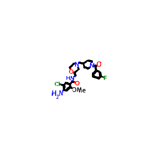 COc1cc(N)c(Cl)cc1C(=O)NCC1CN(CC2CCN(C(=O)c3cccc(F)c3)CC2)CCO1